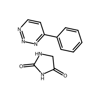 O=C1CNC(=O)N1.c1ccc(-c2ccnnn2)cc1